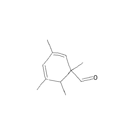 CC1=CC(C)(C=O)C(C)C(C)=C1